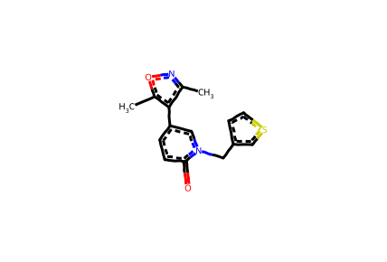 Cc1noc(C)c1-c1ccc(=O)n(Cc2ccsc2)c1